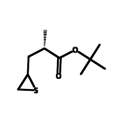 C[C@@H](CC1CS1)C(=O)OC(C)(C)C